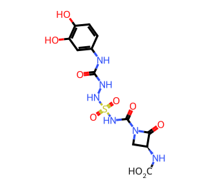 O=C(O)N[C@H]1CN(C(=O)NS(=O)(=O)NNC(=O)Nc2ccc(O)c(O)c2)C1=O